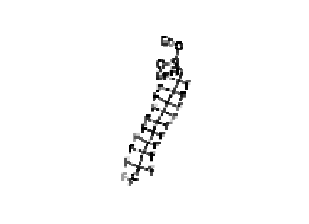 CCO[SiH](CC(F)(F)C(F)(F)C(F)(F)C(F)(F)C(F)(F)C(F)(F)C(F)(F)C(F)(F)C(F)(F)C(F)(F)F)OCC